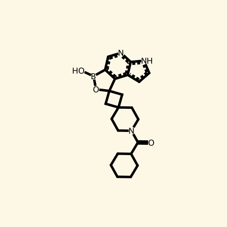 O=C(C1CCCCC1)N1CCC2(CC1)CC1(C2)OB(O)c2cnc3[nH]ccc3c21